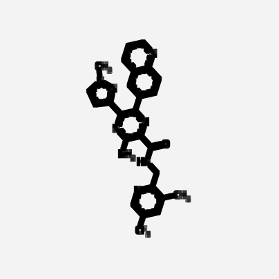 Cc1cc(C(F)(F)F)cnc1CNC(=O)c1nc(-c2ccc3ncccc3c2)c(-c2ccn(C)n2)nc1N